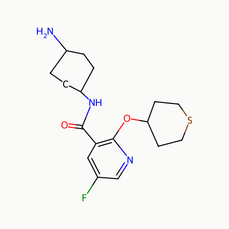 NC1CCC(NC(=O)c2cc(F)cnc2OC2CCSCC2)CC1